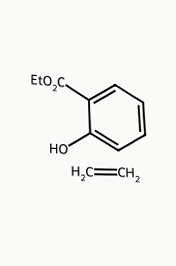 C=C.CCOC(=O)c1ccccc1O